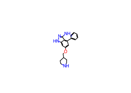 Nc1n[nH]c2cc(OCC3CCNCC3)cc(-c3ccccc3)c12